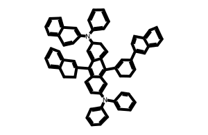 C1=C(c2ccc3ccccc3c2)C=C(c2c3c(c(C4=Cc5ccccc5CC4)c4ccc(N(c5ccccc5)c5ccccc5)cc24)=CC(N(c2ccccc2)c2ccc4ccccc4c2)CC=3)CC1